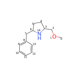 COCC1CCC(Cc2ccccc2)N1